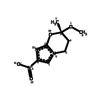 CO[C@]1(C)CCn2cc([N+](=O)[O-])nc2O1